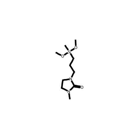 CO[Si](C)(CCCN1CCN(C)C1=O)OC